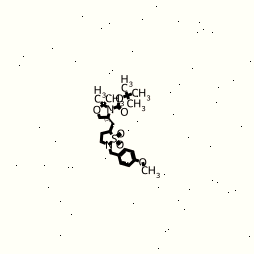 COc1ccc(CN2CCC(C[C@H]3COC(C)(C)N3C(=O)OC(C)(C)C)S2(=O)=O)cc1